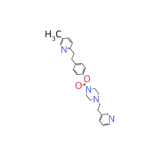 Cc1ccc(CCc2ccc(OC(=O)N3CCN(CCc4cccnc4)CC3)cc2)nc1